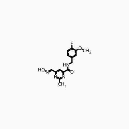 COc1cc(CNC(=O)c2cc(/C=N/O)nc(C)n2)ccc1F